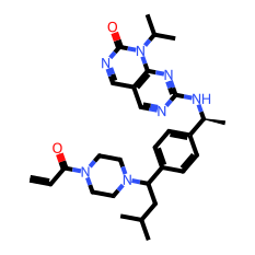 C=CC(=O)N1CCN(C(CC(C)C)c2ccc([C@H](C)Nc3ncc4cnc(=O)n(C(C)C)c4n3)cc2)CC1